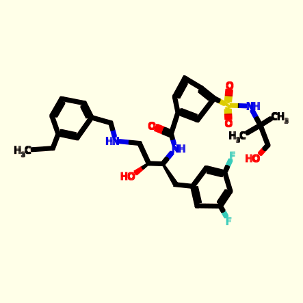 CCc1cccc(CNC[C@H](O)[C@H](Cc2cc(F)cc(F)c2)NC(=O)c2cccc(S(=O)(=O)NC(C)(C)CO)c2)c1